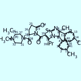 Cc1ccc([C@H]2N3C(=N[C@@]2(C)c2ccc(Cl)cc2)SC(C(=O)N2C(=O)CC[C@H]2C(=O)N2CCN(C)[C@H](C)C2)=C3C(C)C)cc1